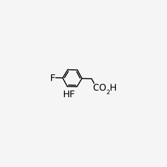 F.O=C(O)Cc1ccc(F)cc1